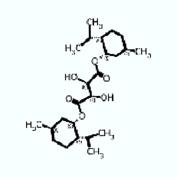 CC(C)[C@@H]1CC[C@@H](C)C[C@@H]1OC(=O)[C@H](O)[C@@H](O)C(=O)O[C@H]1C[C@H](C)CC[C@H]1C(C)C